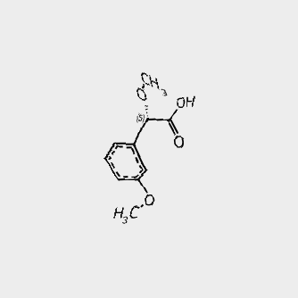 COc1cccc([C@H](OC)C(=O)O)c1